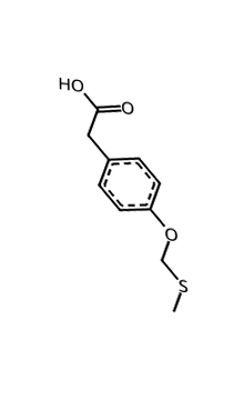 CSCOc1ccc(CC(=O)O)cc1